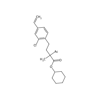 C=Cc1ccc(CCC(C)(C(C)=O)C(=O)OC2CCCCC2)c(Cl)c1